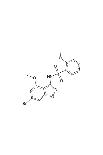 COc1ccccc1S(=O)(=O)Nc1noc2cc(Br)cc(OC)c12